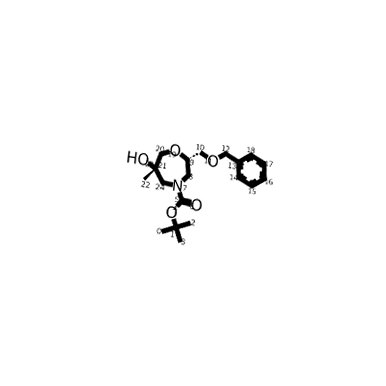 CC(C)(C)OC(=O)N1C[C@@H](COCc2ccccc2)OC[C@@](C)(O)C1